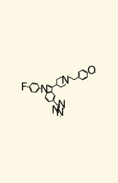 COc1ccc(CCN2CCC(c3cn(-c4ccc(F)cc4)c4ccc(-c5ncn(C)n5)cc34)CC2)cc1